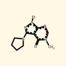 CCn1nc(N2CCCC2)c2c(=O)n(C)cnc21